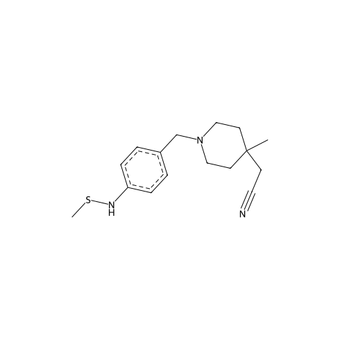 CSNc1ccc(CN2CCC(C)(CC#N)CC2)cc1